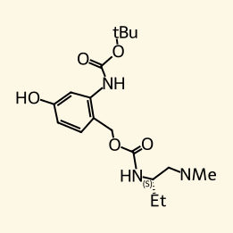 CC[C@@H](CNC)NC(=O)OCc1ccc(O)cc1NC(=O)OC(C)(C)C